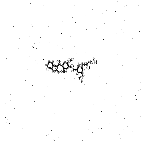 CNCC(=O)Nc1cc(COC)cc(COc2cc3c(cc2OC)C(=O)N2c4ccccc4CC2CN3)c1